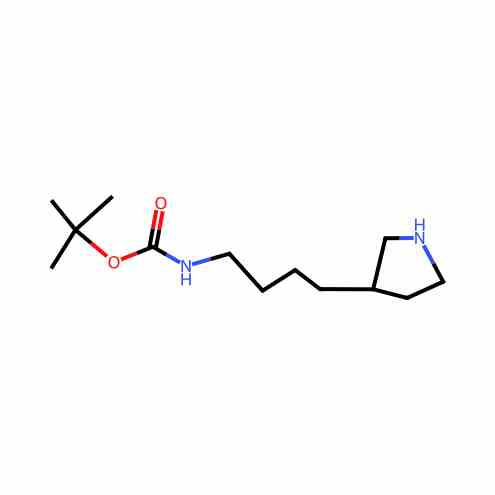 CC(C)(C)OC(=O)NCCCCC1CCNC1